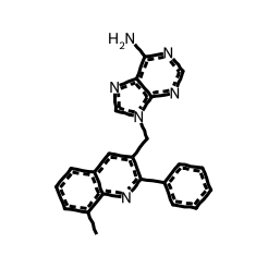 Cc1cccc2cc(Cn3cnc4c(N)ncnc43)c(-c3ccccc3)nc12